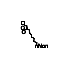 CCCCCCCCCCCCCCC=CC1=CC(=O)OC1=O